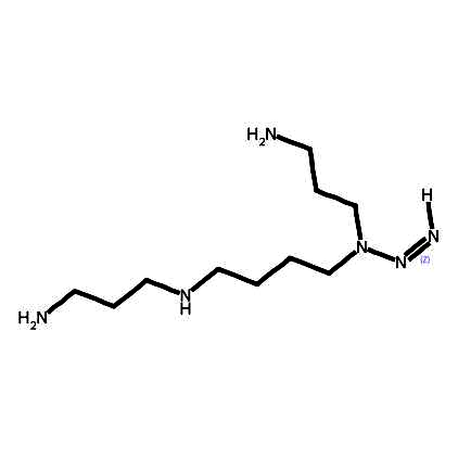 [H]/N=N\N(CCCN)CCCCNCCCN